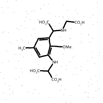 COc1c(NC(C(=O)O)C(=O)O)cc(C)cc1C(NCC(=O)O)C(=O)O